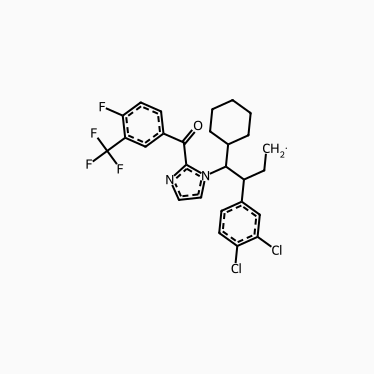 [CH2]CC(c1ccc(Cl)c(Cl)c1)C(C1CCCCC1)n1ccnc1C(=O)c1ccc(F)c(C(F)(F)F)c1